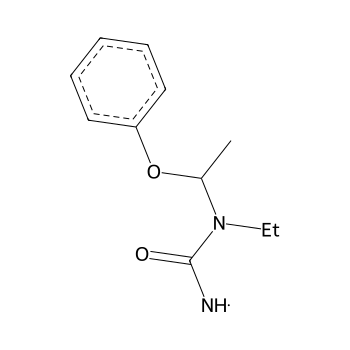 CCN(C([NH])=O)C(C)Oc1ccccc1